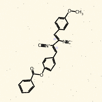 [C-]#[N+]C(=C\c1ccc(OC)cc1)/C(=C/c1ccc(OC(=O)c2ccccc2)cc1)[N+]#[C-]